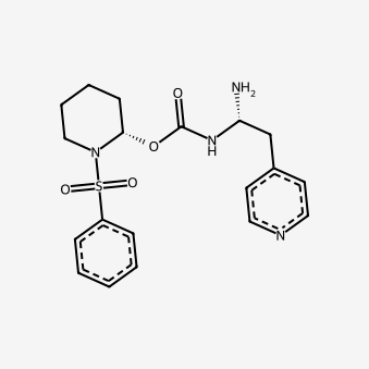 N[C@H](Cc1ccncc1)NC(=O)O[C@H]1CCCCN1S(=O)(=O)c1ccccc1